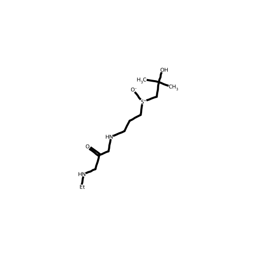 CCNCC(=O)CNCCC[S+]([O-])CC(C)(C)O